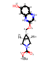 CC(C)(C)OC(=O)N1C[C@@H]2[C@@H](COc3cnc4ccc(O)cc4n3)[C@@H]2C1